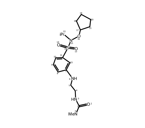 CNC(=O)NCCNc1cccc(S(=O)(=O)N(OC2CCCC2)C(C)C)c1